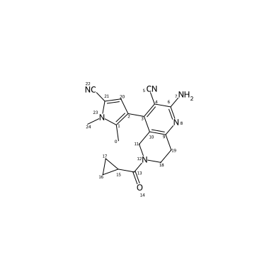 Cc1c(-c2c(C#N)c(N)nc3c2CN(C(=O)C2CC2)CC3)cc(C#N)n1C